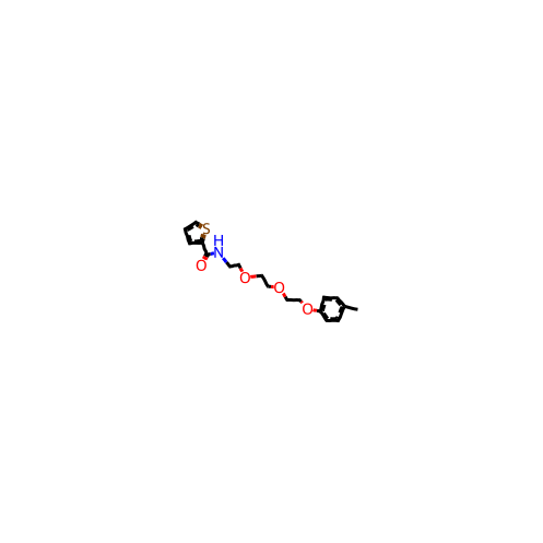 Cc1ccc(OCCOCCOCCNC(=O)c2cccs2)cc1